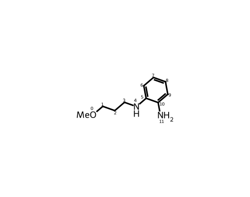 COCCCNc1ccccc1N